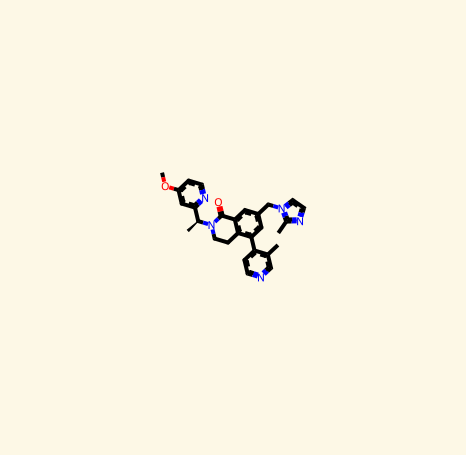 COc1ccnc([C@H](C)N2CCc3c(cc(Cn4ccnc4C)cc3-c3ccncc3C)C2=O)c1